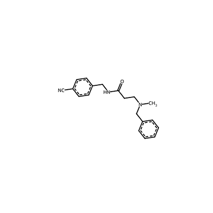 CN(CCC(=O)NCc1ccc(C#N)cc1)Cc1ccccc1